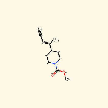 C#CC=C(C)C1CCN(C(=O)OC(C)(C)C)CC1